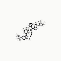 C#CCCCOC(c1ccccc1-n1cc(NC(=O)c2cnn3ccc(N4C[C@H]5C[C@@H]4CO5)nc23)c(C(F)F)n1)c1cccc2c1n(C)c(=O)n2C1CCC(=O)NC1=O